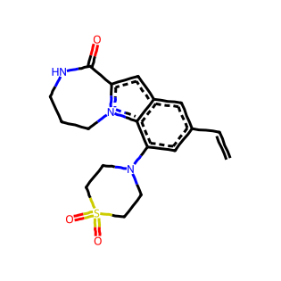 C=Cc1cc(N2CCS(=O)(=O)CC2)c2c(c1)cc1n2CCCNC1=O